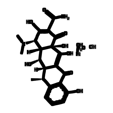 CCO.C[C@H]1c2cccc(O)c2C(=O)C2=C(O)[C@]3(O)C(=O)C(C(N)=O)=C(O)[C@@H](N(C)C)[C@H]3[C@@H](O)[C@@H]21.Cl.O